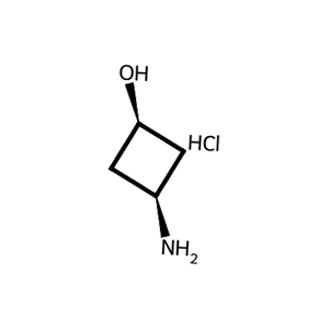 Cl.N[C@H]1C[C@@H](O)C1